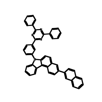 c1ccc(-c2nc(-c3ccccc3)nc(-c3cccc(-n4c5ccccc5c5c6ccc(-c7ccc8ccccc8c7)cc6ccc54)c3)n2)cc1